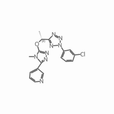 C[C@@H](Oc1nnc(-c2cccnc2)n1C)c1nnn(-c2cccc(Cl)c2)n1